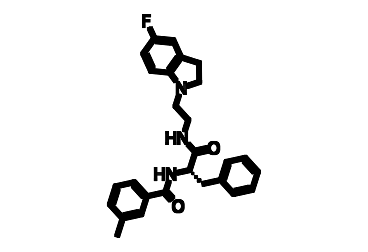 Cc1cccc(C(=O)N[C@@H](Cc2ccccc2)C(=O)NCCN2CCc3cc(F)ccc32)c1